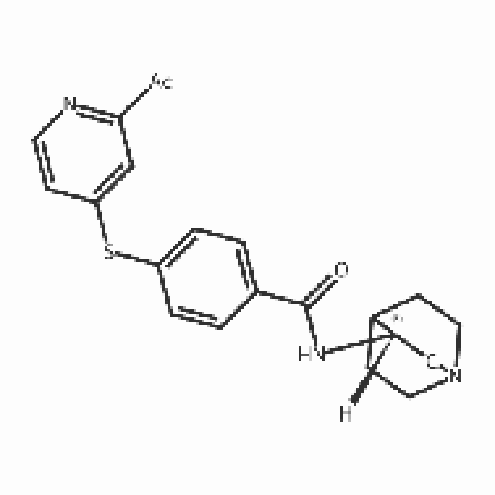 CC(=O)c1cc(Sc2ccc(C(=O)N[C@H]3CN4CCC3CC4)cc2)ccn1